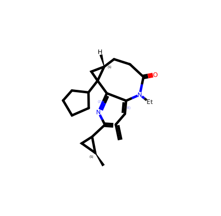 C=C/C=C1\C(=N/C(=C)C2C[C@@H]2C)C2(C3CCCC3)C[C@@H]2CCC(=O)N1CC